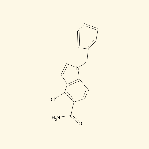 NC(=O)c1cnc2c(ccn2Cc2ccccc2)c1Cl